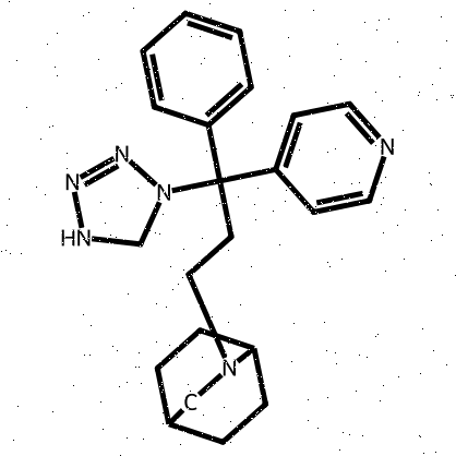 c1ccc(C(CCN2CC3CCC2CC3)(c2ccncc2)N2CNN=N2)cc1